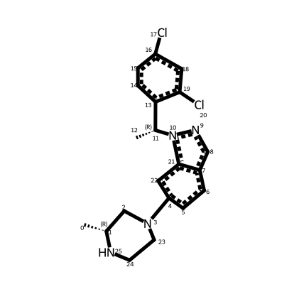 C[C@@H]1CN(c2ccc3cnn([C@H](C)c4ccc(Cl)cc4Cl)c3c2)CCN1